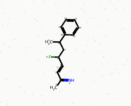 CC(=N)/C=C/C(F)CC(C)c1ccccc1